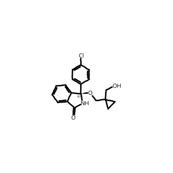 O=C1N[C@@](OCC2(CO)CC2)(c2ccc(Cl)cc2)c2ccccc21